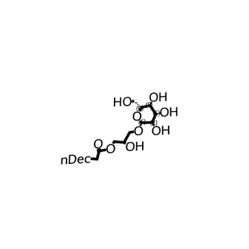 CCCCCCCCCCCC(=O)OCC(O)CO[C@H]1O[C@H](CO)[C@@H](O)[C@H](O)[C@H]1O